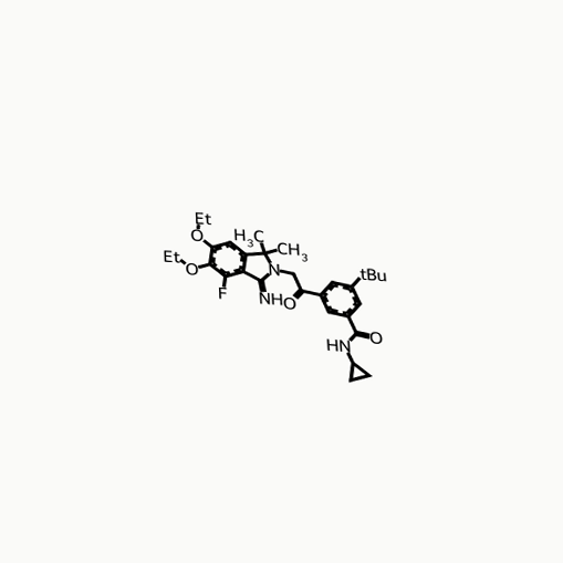 CCOc1cc2c(c(F)c1OCC)C(=N)N(CC(=O)c1cc(C(=O)NC3CC3)cc(C(C)(C)C)c1)C2(C)C